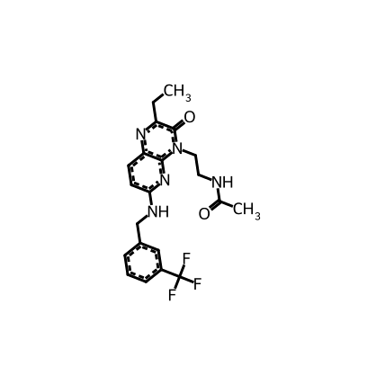 CCc1nc2ccc(NCc3cccc(C(F)(F)F)c3)nc2n(CCNC(C)=O)c1=O